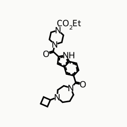 CCOC(=O)N1CCN(C(=O)c2cc3cc(C(=O)N4CCCN(C5CCC5)CC4)ccc3[nH]2)CC1